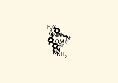 COc1c(-c2cc(C(=O)Nc3cc(C(F)(F)F)ccc3N(C)CCCN(C)C)ccc2C)cc2cnc(N)nc2c1Br